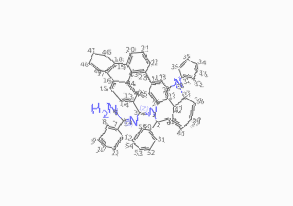 CC(/N=C(\N=C(/N)c1ccccc1)c1ccc2c3c(c4cccc(-c5ccc6c(c5)N(c5ccccc5)C5C=CC=CC65)c4c2c1)CCC=C3)c1ccccc1